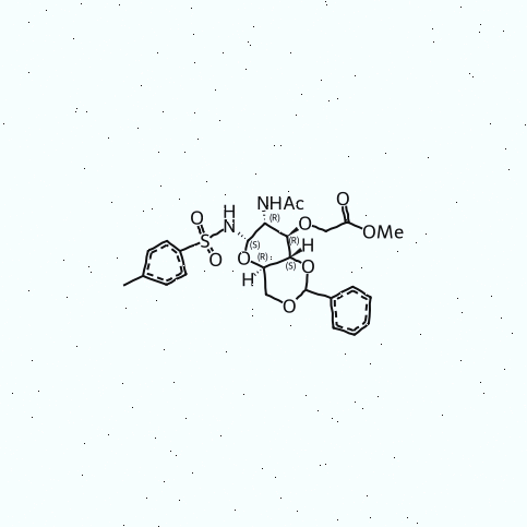 COC(=O)CO[C@@H]1[C@@H](NC(C)=O)[C@@H](NS(=O)(=O)c2ccc(C)cc2)O[C@@H]2COC(c3ccccc3)O[C@@H]12